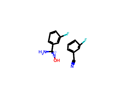 N#Cc1cccc(F)c1.N/C(=N\O)c1cccc(F)c1